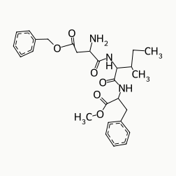 CCC(C)C(NC(=O)C(N)CC(=O)OCc1ccccc1)C(=O)NC(Cc1ccccc1)C(=O)OC